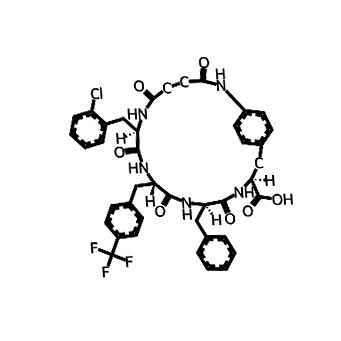 O=C1CCC(=O)N[C@H](Cc2ccccc2Cl)C(=O)N[C@@H](Cc2ccc(C(F)(F)F)cc2)C(=O)N[C@H](Cc2ccccc2)C(=O)N[C@H](C(=O)O)Cc2ccc(cc2)N1